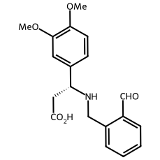 COc1ccc([C@@H](CC(=O)O)NCc2ccccc2C=O)cc1OC